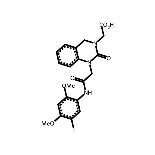 COc1cc(OC)c(NC(=O)CN2C(=O)N(CC(=O)O)Cc3ccccc32)cc1I